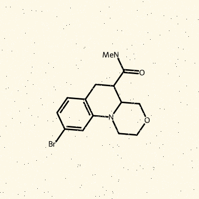 CNC(=O)C1Cc2ccc(Br)cc2N2CCOCC12